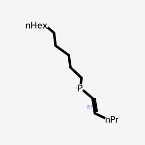 CCC/C=C/[P]CCCCCCCCCCC